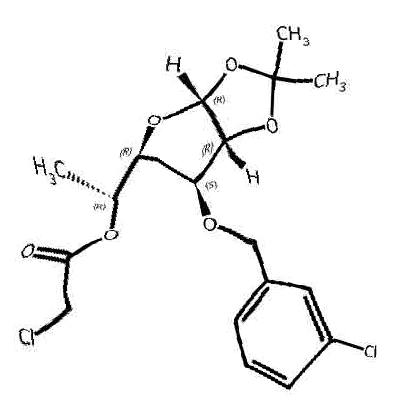 C[C@@H](OC(=O)CCl)[C@H]1O[C@@H]2OC(C)(C)O[C@@H]2[C@H]1OCc1cccc(Cl)c1